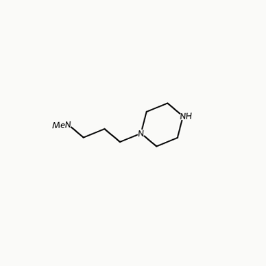 CNCCCN1CCNCC1